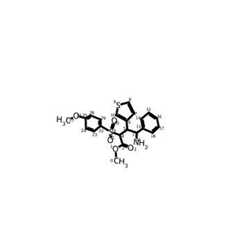 COC(=O)C(C(c1ccsc1)C(N)c1ccccc1)S(=O)(=O)c1ccc(OC)cc1